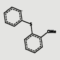 COc1ccccc1Sc1[c]cccc1